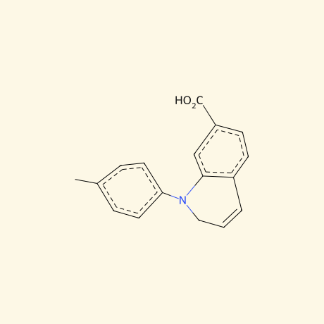 Cc1ccc(N2CC=Cc3ccc(C(=O)O)cc32)cc1